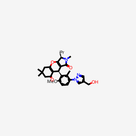 COc1ccc(-n2cc(CO)cn2)c(C)c1[C@H]1C2=C(CC(C)(C)CC2=O)OC2=C1C(=O)N(C)[C@@H]2C(C)C